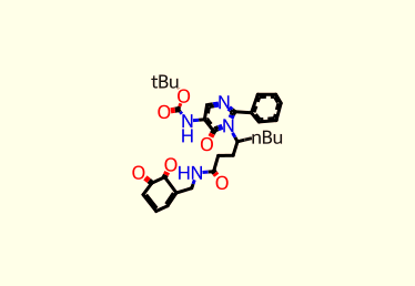 CCCCC(CCC(=O)NCC1=CC=CC(=O)C1=O)n1c(-c2ccccc2)ncc(NC(=O)OC(C)(C)C)c1=O